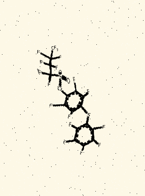 O=S(=O)(Oc1c(F)c(F)c(Sc2c(F)c(F)c(F)c(F)c2F)c(F)c1F)C(F)(F)C(F)(F)C(F)(F)C(F)(F)F